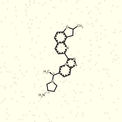 CC1Cc2c(ccc3ccc(-c4nnc5ccc([C@H](C)N6CC[C@H](N)C6)cn45)nc23)O1